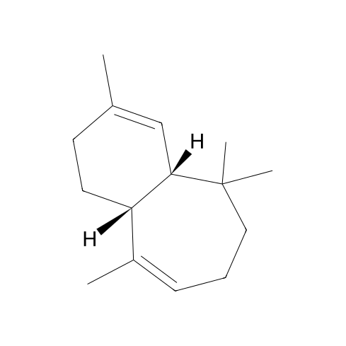 CC1=C[C@H]2[C@@H](CC1)C(C)=CCCC2(C)C